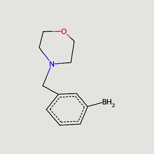 Bc1cccc(CN2CCOCC2)c1